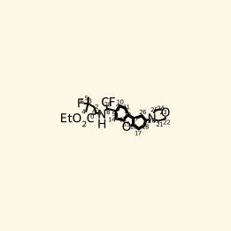 CCOC(=O)[C@H](CC(C)(C)F)NC(c1ccc2c(c1)oc1ccc(N3CCOCC3)cc12)C(F)(F)F